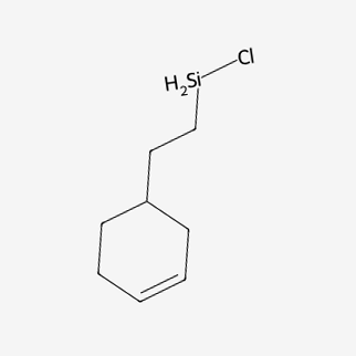 Cl[SiH2]CCC1CC=CCC1